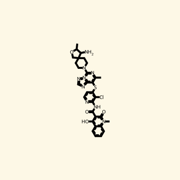 Cc1nc(N2CCC3(CC2)COC(C)C3N)n2ncnc2c1Sc1ccnc(NC(=O)c2c(O)c3ccccc3n(C)c2=O)c1Cl